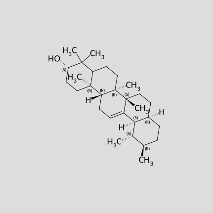 C[C@@H]1[C@H]2C3=CC[C@@H]4[C@@]5(C)CC[C@H](O)C(C)(C)C5CC[C@@]4(C)[C@]3(C)CC[C@H]2CC[C@H]1C